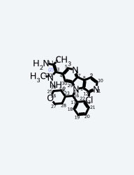 C/C(N)=C(\c1cnc2c3ccnc(Cl)c3n(C(c3ccccc3)C3CCOCC3)c2c1)N(C)N